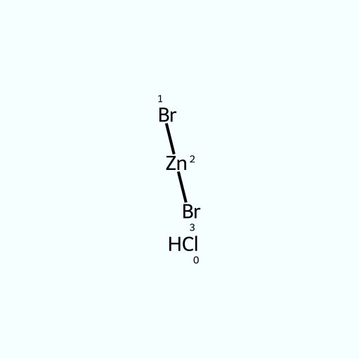 Cl.[Br][Zn][Br]